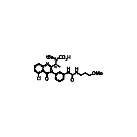 COCCCNC(=O)Nc1cccc(-n2c([C@H](C)N(C(=O)O)C(C)(C)C)nc3cccc(Cl)c3c2=O)c1